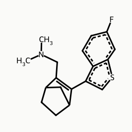 CN(C)CC1=C(c2csc3cc(F)ccc23)C2CCC1C2